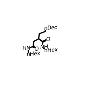 CCCCCCCCCCCCC(CC(=O)NCCCCCC)C(=O)NCCCCCC